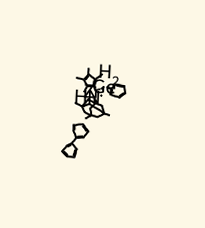 CC1=C(C)C(C)[C]([Zr]([CH3])([NH]C23CC4(C)CC(C)(CC(C)(C4)C2)C3)[GeH2][c]2ccccc2)=C1C.c1ccc(-c2ccccc2)cc1